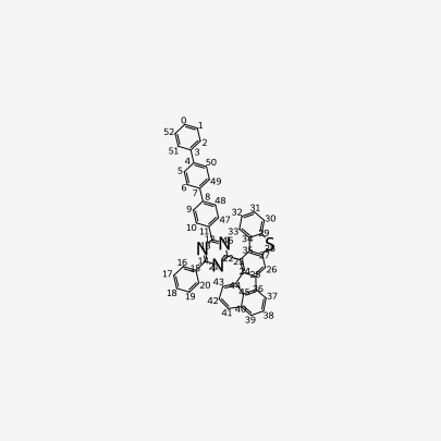 c1ccc(-c2ccc(-c3ccc(-c4nc(-c5ccccc5)nc(-c5c6c(cc7sc8ccccc8c57)-c5cccc7cccc-6c57)n4)cc3)cc2)cc1